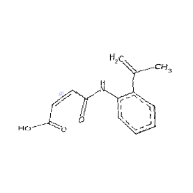 C=C(C)c1ccccc1NC(=O)/C=C\C(=O)O